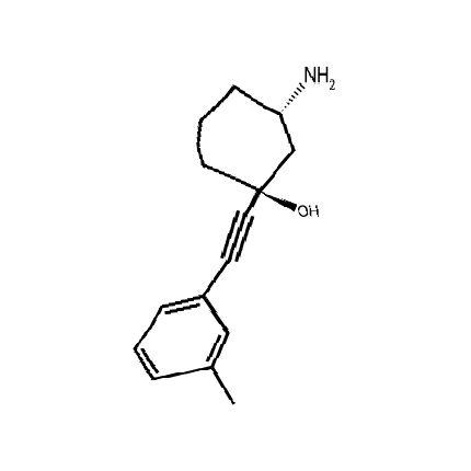 Cc1cccc(C#C[C@]2(O)CCC[C@H](N)C2)c1